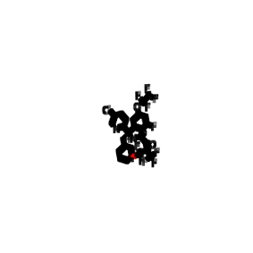 O=C(N[C@@](Cc1ccccc1)(c1cc(F)cc(OC(F)(F)C(F)F)c1)c1ccc(Cl)cn1)C1OC1(C(F)(F)F)C(F)(F)F